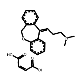 CN(C)CCC=C1c2ccccc2COc2ccccc21.O=C(O)/C=C\C(=O)O